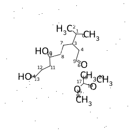 CC(C)C(CC=O)CCC(O)CCCO.COC(C)OC